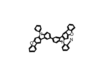 N#Cc1ccccc1-n1c2ccc(-c3ccc4c(c3)c3cc5c(cc3n4-c3ccccc3)oc3ccccc35)cc2c2cc3c(cc21)oc1ccccc13